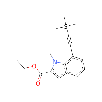 CCOC(=O)c1cc2cccc(C#C[Si](C)(C)C)c2n1C